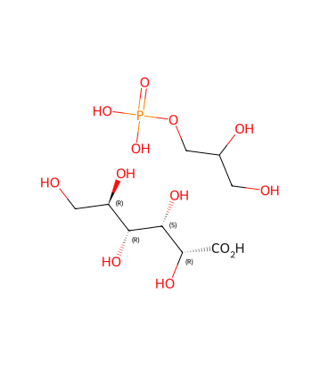 O=C(O)[C@H](O)[C@@H](O)[C@H](O)[C@H](O)CO.O=P(O)(O)OCC(O)CO